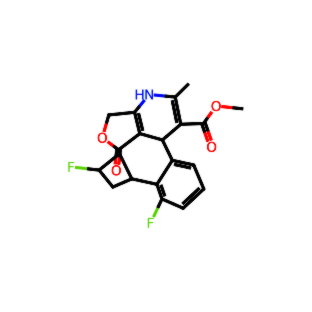 COC(=O)C1=C(C)NC2=C(C(=O)OC2)C1c1cccc(F)c1C1CC(F)C1